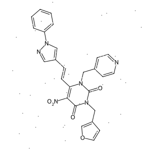 O=c1c([N+](=O)[O-])c(C=Cc2cnn(-c3ccccc3)c2)n(Cc2ccncc2)c(=O)n1Cc1ccoc1